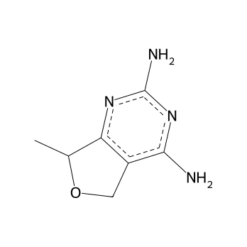 CC1OCc2c(N)nc(N)nc21